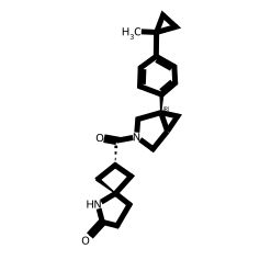 CC1(c2ccc([C@@]34CC3CN(C(=O)[C@H]3C[C@]5(CCC(=O)N5)C3)C4)cc2)CC1